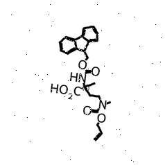 C=CCOC(=O)N(C)CC[C@](C)(NC(=O)OCC1c2ccccc2-c2ccccc21)C(=O)O